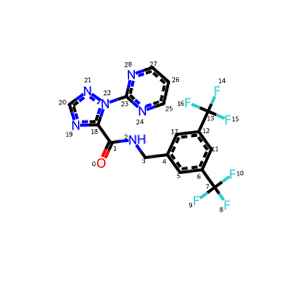 O=C(NCc1cc(C(F)(F)F)cc(C(F)(F)F)c1)c1ncnn1-c1ncccn1